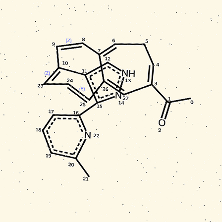 CC(=O)C1=CCC=C2\C=C/C(c3c[nH]nc3-c3cccc(C)n3)=C/C=C/C2=C1